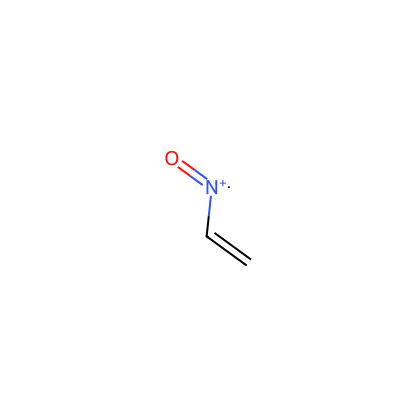 C=C[N+]=O